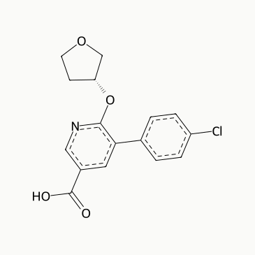 O=C(O)c1cnc(O[C@@H]2CCOC2)c(-c2ccc(Cl)cc2)c1